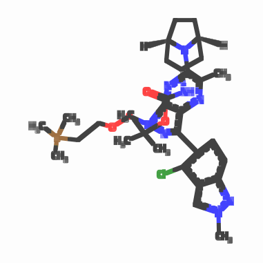 Cc1nc2c(-c3ccc4nn(C)cc4c3Cl)nn(COCCS(C)(C)C)c2nc1N1[C@@H]2CC[C@H]1C[C@@H](NC(=O)OC(C)(C)C)C2